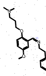 COc1ccc(OCCCN(C)C)c(/C=N\CCc2ccccc2)c1